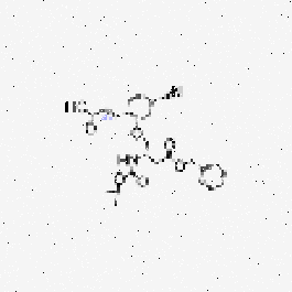 CC(C)(C)OC(=O)NC(COc1cc(C#N)ccc1/C=C/C(=O)O)CC(=O)OCc1ccccc1